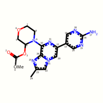 COC(=O)OC1COCCN1c1nc(-c2cnc(N)nc2)cn2cc(C)nc12